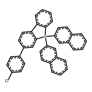 Clc1ccc(-c2ccc3c(c2)S(c2ccc4ccccc4c2)(c2ccc4ccccc4c2)c2ccccc2-3)cc1